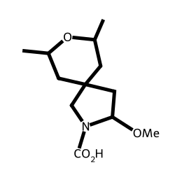 COC1CC2(CC(C)OC(C)C2)CN1C(=O)O